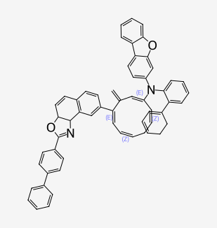 C=C1/C=C(N(c2ccc3c(c2)oc2ccccc23)c2ccccc2C2=CC=CCC2)\C=C/C/C=C\C=C/1c1ccc2c(c1)C1N=C(c3ccc(-c4ccccc4)cc3)OC1C=C2